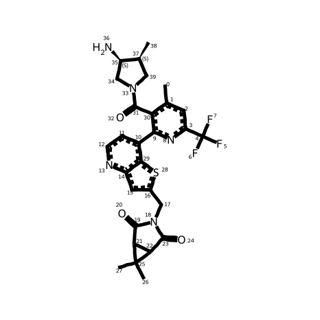 Cc1cc(C(F)(F)F)nc(-c2ccnc3cc(CN4C(=O)C5C(C4=O)C5(C)C)sc23)c1C(=O)N1C[C@@H](N)[C@@H](C)C1